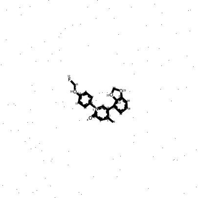 Cc1cc(=O)n(-c2ccc(OCF)cc2)cc1-c1cccc2c1OCO2